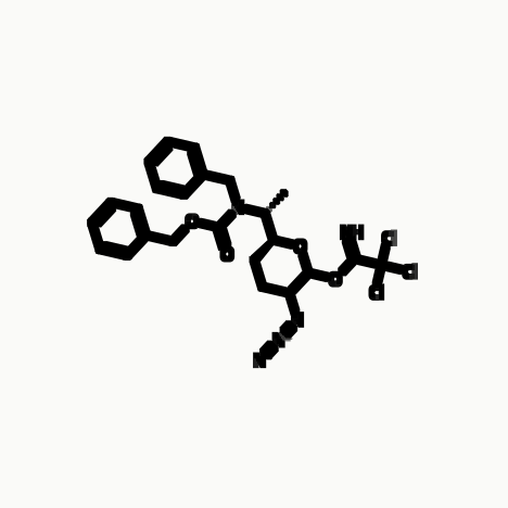 C[C@H]([C@@H]1CCC(N=[N+]=[N-])C(OC(=N)C(Cl)(Cl)Cl)O1)N(Cc1ccccc1)C(=O)OCc1ccccc1